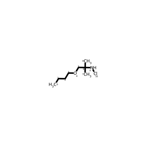 CCCCOCC(C)(C)NCl